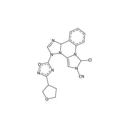 N#CN1C=C2N(c3ccccc3C3N=CN(c4nc(C5CCOC5)no4)N23)C1Cl